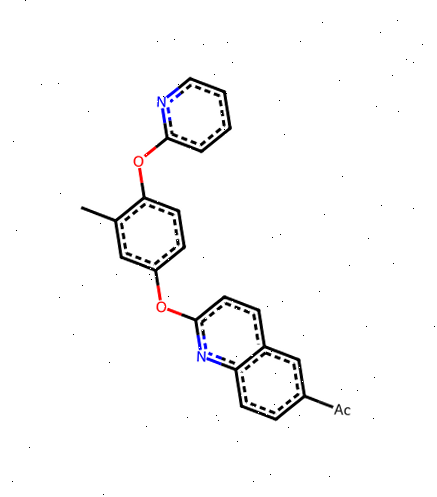 CC(=O)c1ccc2nc(Oc3ccc(Oc4ccccn4)c(C)c3)ccc2c1